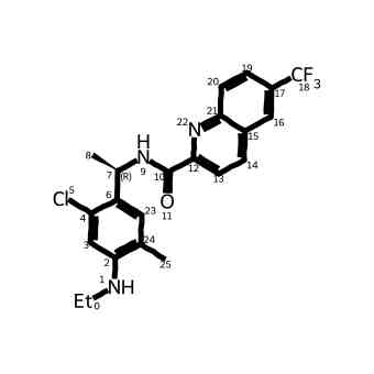 CCNc1cc(Cl)c([C@@H](C)NC(=O)c2ccc3cc(C(F)(F)F)ccc3n2)cc1C